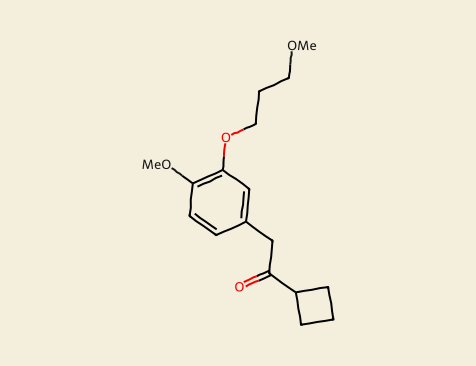 COCCCOc1cc(CC(=O)C2CCC2)ccc1OC